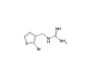 N=C(N)NCc1ccsc1Br